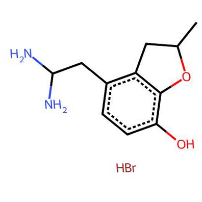 Br.CC1Cc2c(CC(N)N)ccc(O)c2O1